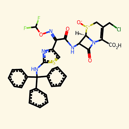 O=C(O)C1=C(CCl)C[S+]([O-])[C@@H]2C(NC(=O)/C(=N/OC(F)F)c3csc(NC(c4ccccc4)(c4ccccc4)c4ccccc4)n3)C(=O)N12